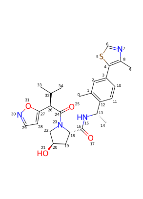 Cc1cc(-c2scnc2C)ccc1[C@H](C)NC(=O)[C@@H]1C[C@@H](O)CN1C(=O)[C@@H](c1ccno1)C(C)C